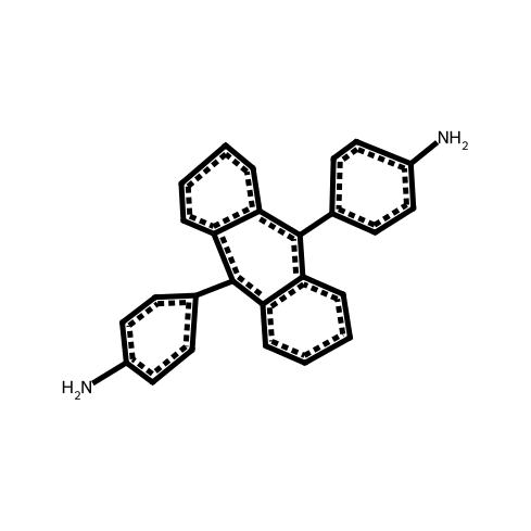 Nc1ccc(-c2c3ccccc3c(-c3ccc(N)cc3)c3ccccc23)cc1